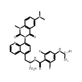 CC[C@@H](Nc1cc(F)c(C(=O)N[C@@H](Cc2ccc(-n3c(=O)c4cc(N(C)C)ccc4n(C)c3=O)c3ncccc23)C(=O)O)c(F)c1)C(F)(F)F